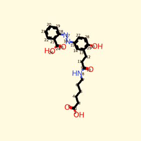 O=C(O)CCCCCNC(=O)CCc1cc(N=Nc2ccccc2C(=O)O)ccc1O